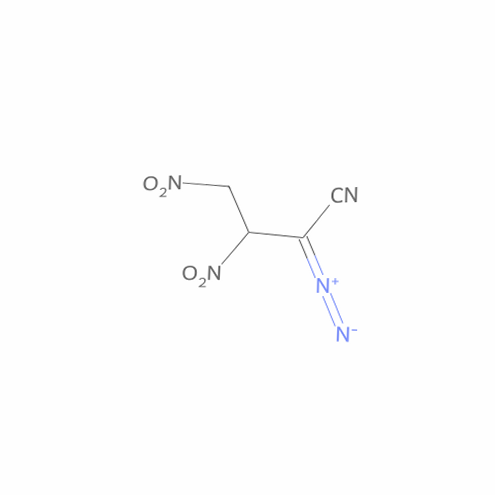 N#CC(=[N+]=[N-])C(C[N+](=O)[O-])[N+](=O)[O-]